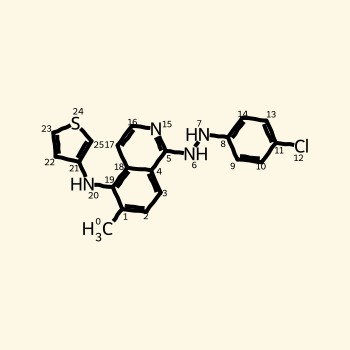 Cc1ccc2c(NNc3ccc(Cl)cc3)nccc2c1Nc1ccsc1